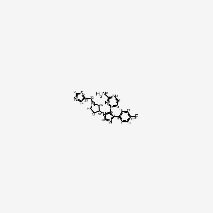 Nc1nccc(-c2c(-c3ccc(F)cc3)ncn2C2CCN(Cc3cncs3)C2)n1